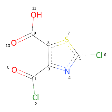 O=C(Cl)c1nc(Cl)sc1C(=O)O